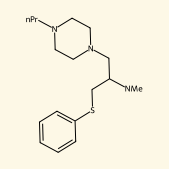 CCCN1CCN(CC(CSc2ccccc2)NC)CC1